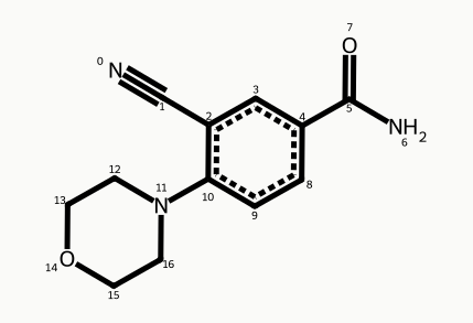 N#Cc1cc(C(N)=O)ccc1N1CCOCC1